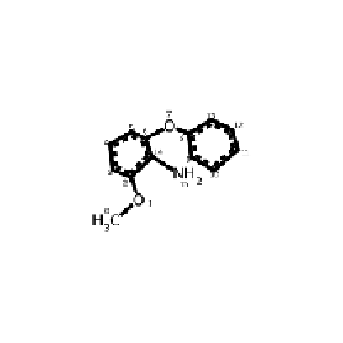 COc1cccc(Oc2ccccc2)c1N